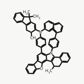 CC1CC2=C(C=C1N(c1ccccc1)c1ccc(-c3cc4c5ccccc5oc4c4c5c(n(-c6ccc(-c7ccccc7)cc6)c34)-c3ccccc3CC5C)cc1)C(C)(C)c1ccccc12